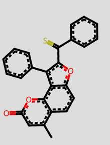 Cc1cc(=O)oc2c1ccc1oc(C(=S)c3ccccc3)c(-c3ccccc3)c12